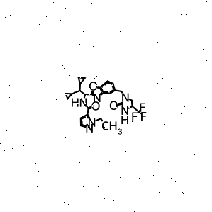 CCn1nccc1C(=O)NC(c1nc2cc(CN3CC(C(F)(F)F)NC3=O)ccc2o1)C(C1CC1)C1CC1